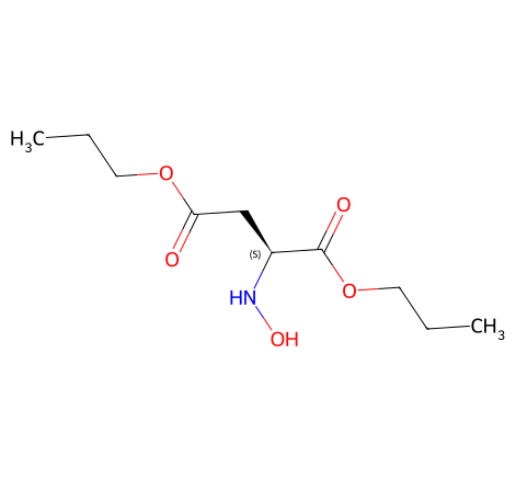 CCCOC(=O)C[C@H](NO)C(=O)OCCC